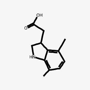 Cc1ccc(C)c2c1NCC2CC(=O)O